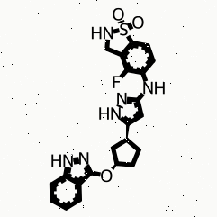 O=S1(=O)NCc2c1ccc(Nc1cc([C@H]3CC[C@@H](Oc4n[nH]c5ccccc45)C3)[nH]n1)c2F